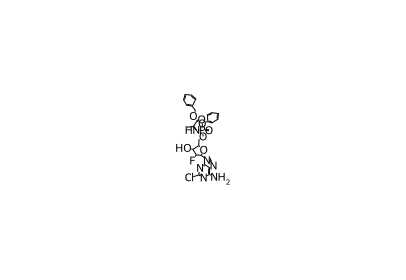 CC(NP(=O)(OCC1OC(n2cnc3c(N)nc(Cl)nc32)C(F)C1O)Oc1ccccc1)C(=O)OCc1ccccc1